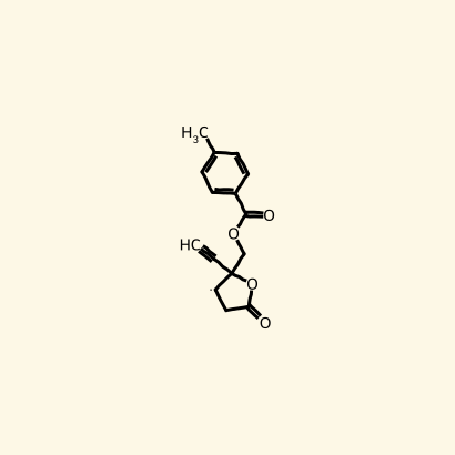 C#CC1(COC(=O)c2ccc(C)cc2)[CH]CC(=O)O1